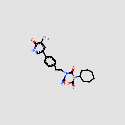 Cc1cc(-c2ccc(CCN(C#N)C(=O)N(C(=O)O)C3CCCCCC3)cc2)c[nH]c1=O